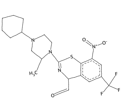 CC1CN(C2CCCCC2)CCN1C1=NC(C=O)c2cc(C(F)(F)F)cc([N+](=O)[O-])c2S1